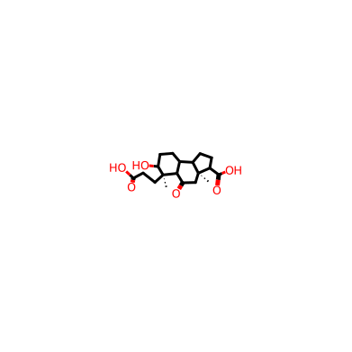 C[C@]1(CCC(=O)O)C(O)CCC2C3CCC(C(=O)O)[C@@]3(C)CC(=O)C21